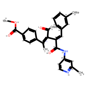 COC(=O)C(=C(/C)c1ccc(C(=O)OC(C)(C)C)cc1)/C(=C\c1cccc(OC)c1)C(=O)Nc1ccnc(C)c1